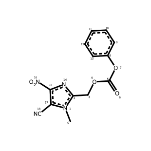 Cn1c(COC(=O)Oc2ccccc2)nc([N+](=O)[O-])c1C#N